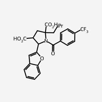 CC(C)CC1(C(=O)O)CC(C(=O)O)C(c2cc3ccccc3o2)N1C(=O)c1ccc(C(F)(F)F)cc1